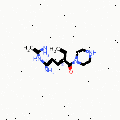 C=C/C(=C\C=C(/N)NC(=C)N)C(=O)N1CCNCC1